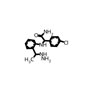 CC(NN)c1ccccc1NC(C(N)=O)c1ccc(Cl)cc1